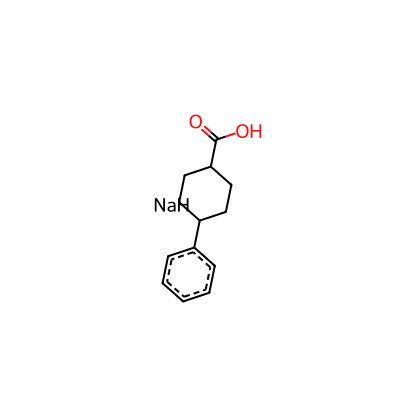 O=C(O)C1CCC(c2ccccc2)CC1.[NaH]